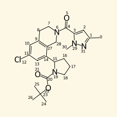 Cc1cc(C(=O)N2CCc3cc(Cl)cc(C4CCCN4C(=O)OC(C)(C)C)c3C2)n(C)n1